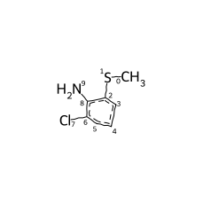 CSc1cccc(Cl)c1N